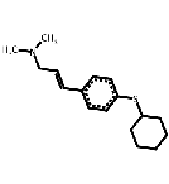 CN(C)CC=Cc1ccc(SC2CCCCC2)cc1